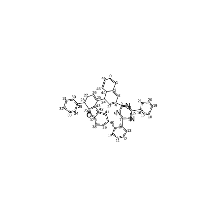 C1=CC2=CC(c3nc(-c4ccccc4)nc(-c4ccccc4)n3)=CC(C3=CCC(c4ccccc4)c4oc5ccccc5c43)C2C=C1